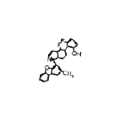 Cc1cc(-c2nccc3c(F)c(-c4c(O)cccc4F)ccc23)c2oc3ccccc3c2c1